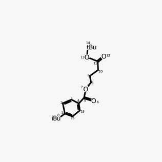 CCC(C)c1ccc(C(=O)OCCCC(=O)OC(C)(C)C)cc1